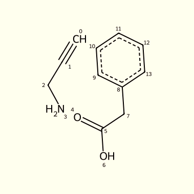 C#CCN.O=C(O)Cc1ccccc1